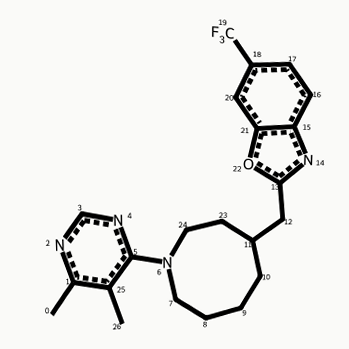 Cc1ncnc(N2CCCCC(Cc3nc4ccc(C(F)(F)F)cc4o3)CC2)c1C